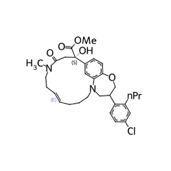 CCCc1cc(Cl)ccc1C1COc2ccc3cc2N(CCC/C=C/CCN(C)C(=O)C[C@@]3(O)C(=O)OC)C1